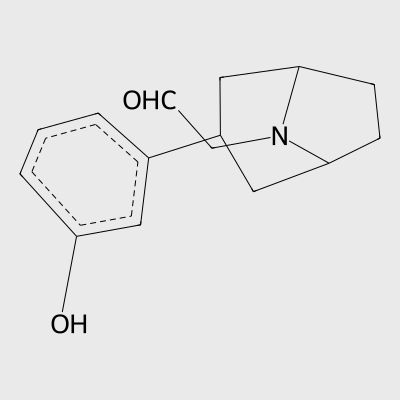 O=CCN1C2CCC1CC(c1cccc(O)c1)C2